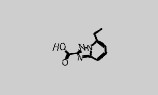 CCc1cccc2nc(C(=O)O)nn12